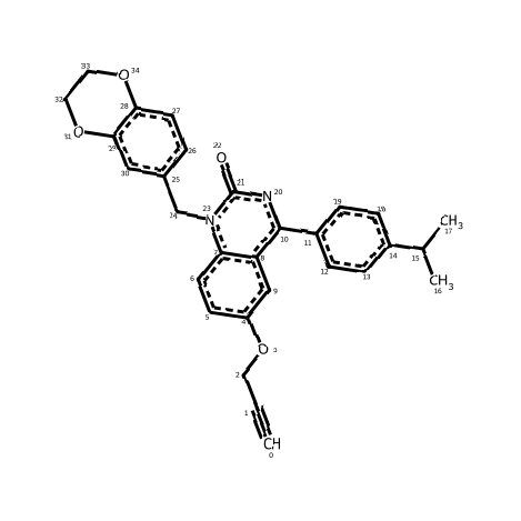 C#CCOc1ccc2c(c1)c(-c1ccc(C(C)C)cc1)nc(=O)n2Cc1ccc2c(c1)OCCO2